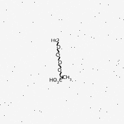 CN(CCOCCOCCOCCOCCO)C(=O)O